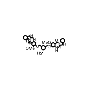 C=C1[C@@H]2CC(OC)=C(OCC3=C[C@@H](CS)CC(COC4=C(OC)CC5C(=O)N6C7CCCC[C@@H]7C[C@H]6CNC5C4)C3)CC2N=C[C@@H]2CC3CCCC[C@@H]3N12